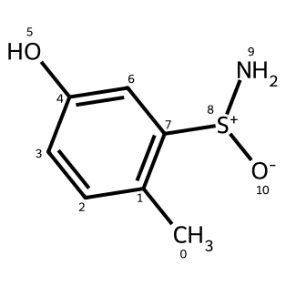 Cc1ccc(O)cc1[S+](N)[O-]